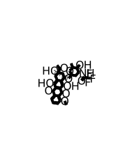 COc1cccc2c1C(=O)c1c(O)c3c(c(O)c1C2=O)C[C@@](O)(C(C)=O)C[C@@H]3OC1CC(NC(=O)C(F)(F)F)C(O)C(C)O1